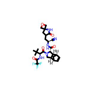 CC(C)(C)[C@H](NC(=O)C(F)(F)F)C(=O)N1C[C@H]2[C@@H]([C@H]1C(=O)N[C@H](C#N)CC1CC3(COC3)NC1=O)[C@H]1C=C[C@@H]2C1